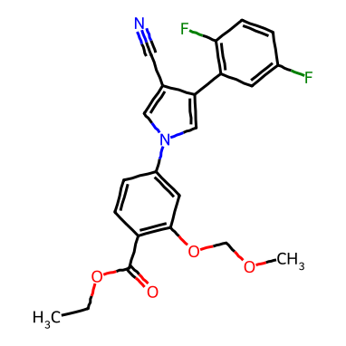 CCOC(=O)c1ccc(-n2cc(C#N)c(-c3cc(F)ccc3F)c2)cc1OCOC